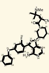 CNC(C)(C)/C=C(/C#N)C(=O)N1CCC[C@@H](n2nc(-c3ccc(Oc4ccccc4)cc3F)c3c(N)ncnc32)C1